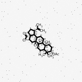 C=C(C)[C@@H]1CC[C@]2(C(=O)Cl)CC[C@]3(C)C(CCC4[C@@]5(C)CC[C@H](OC(C)=O)C(C)(C)C5CC[C@]43C)C12